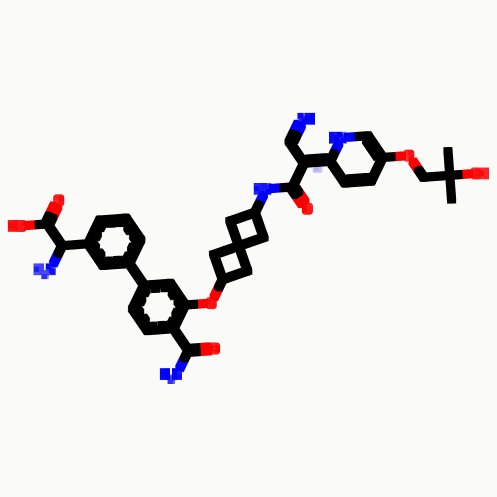 CC(C)(O)COC1=CN/C(=C(\C=N)C(=O)NC2CC3(C2)CC(Oc2cc(-c4cccc(C(N)C(=O)O)c4)ccc2C(N)=O)C3)C=C1